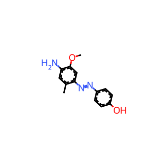 COc1cc(N=Nc2ccc(O)cc2)c(C)cc1N